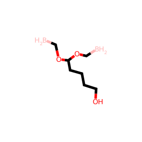 BCOC(CCCCO)OCB